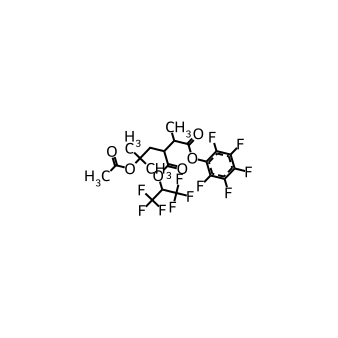 CC(=O)OC(C)(C)CC(C(=O)OC(C(F)(F)F)C(F)(F)F)C(C)C(=O)Oc1c(F)c(F)c(F)c(F)c1F